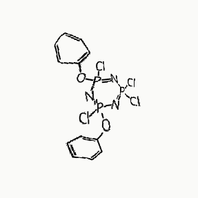 ClP1(Cl)=NP(Cl)(Oc2ccccc2)=NP(Cl)(Oc2ccccc2)=N1